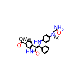 COC(=O)c1ccc2c(c1)NC(=O)C2=C(Nc1ccc(N(CC(N)=O)C(C)=O)cc1)c1ccccc1